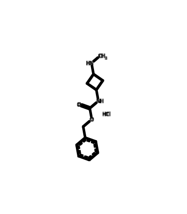 CNC1CC(NC(=O)OCc2ccccc2)C1.Cl